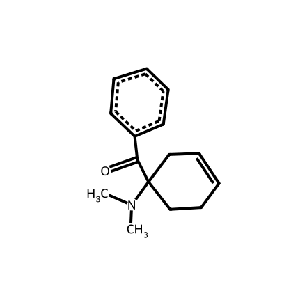 CN(C)C1(C(=O)c2ccccc2)CC=CCC1